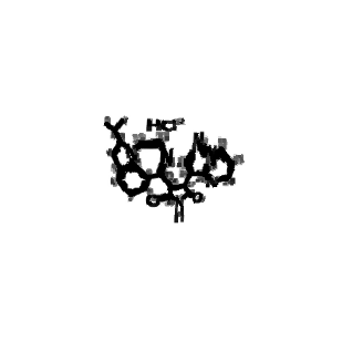 CC(C)C1Cc2cccc3c2N1C=CN=C3C1=C(c2cnn3cccnc23)C(=O)NC1=O.Cl